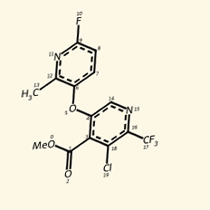 COC(=O)c1c(Oc2ccc(F)nc2C)cnc(C(F)(F)F)c1Cl